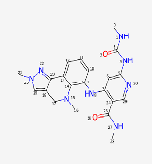 CNC(=O)Nc1cc(Nc2cccc3c2N(C)Cc2cn(C)nc2-3)c(C(=O)NC)cn1